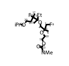 CCC(C)(OCC(C)(CF)OCCOC(=O)NC)C(C)(F)CCOC(C)C